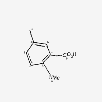 CNc1ccc(C)cc1C(=O)O